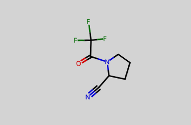 N#CC1CCCN1C(=O)C(F)(F)F